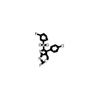 O=S(=O)(c1cccc(F)c1)c1sc2nc(F)ccc2c1-c1ccc(Cl)cc1